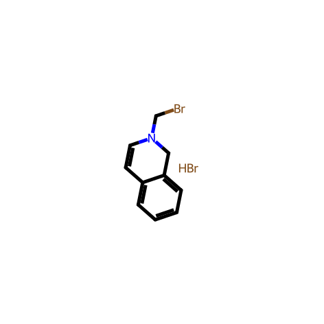 Br.BrCN1C=Cc2ccccc2C1